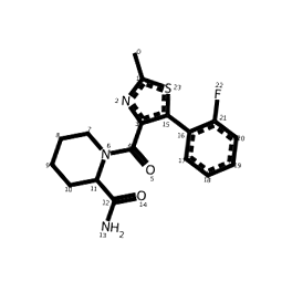 Cc1nc(C(=O)N2CCC[CH]C2C(N)=O)c(-c2ccccc2F)s1